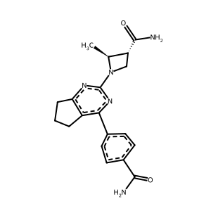 C[C@H]1[C@H](C(N)=O)CN1c1nc2c(c(-c3ccc(C(N)=O)cc3)n1)CCC2